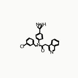 O=C(Cc1cncc2ccccc12)N(Cc1cccc(Cl)c1)c1ccc(-c2cn[nH]c2)cc1